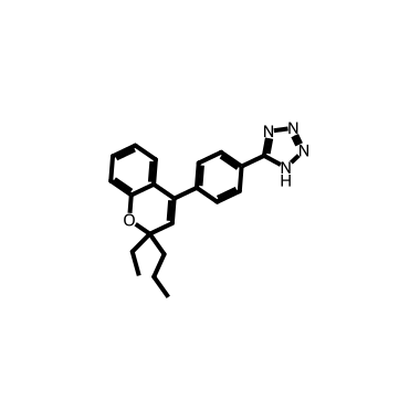 CCCC1(CC)C=C(c2ccc(-c3nnn[nH]3)cc2)c2ccccc2O1